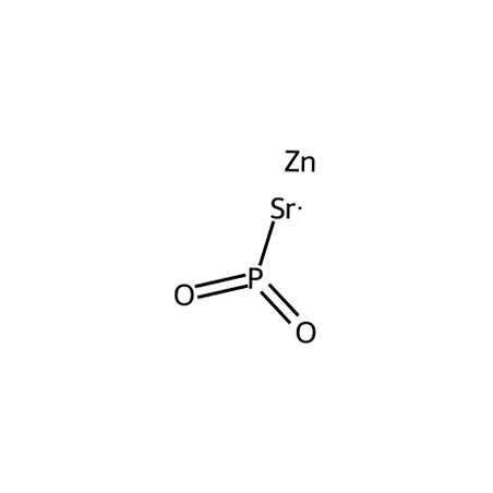 O=[P](=O)[Sr].[Zn]